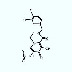 O=C1c2c(O)c(=O)c(N[SH](=O)=O)cn2CCN1Cc1ccc(F)c(Cl)c1